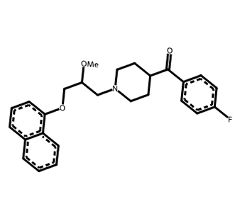 COC(COc1cccc2ccccc12)CN1CCC(C(=O)c2ccc(F)cc2)CC1